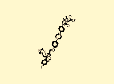 CC[N+]1(CC(=O)[O-])N=CN(c2ccc(N3CCN(c4ccc(OCC5COC(Cn6cncn6)(c6ccc(F)cc6F)O5)cc4)CC3)cc2)C1=O